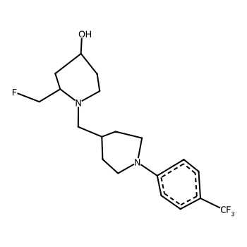 OC1CCN(CC2CCN(c3ccc(C(F)(F)F)cc3)CC2)C(CF)C1